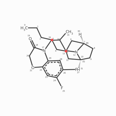 CCCCCC1C[C@H]2CC[C@@H](C1)N2CC(C)CN1C(=O)COc2cc(F)c(F)cc21